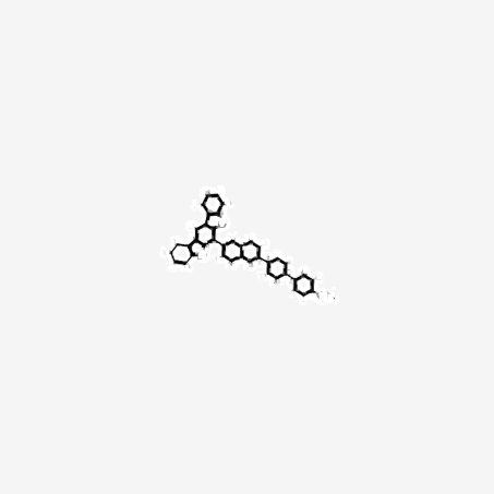 N#Cc1ccc(-c2ccc(-c3ccc4cc(-c5c6oc7c(c6cc6c5oc5ccccc56)CCC=C7)ccc4c3)cc2)cc1